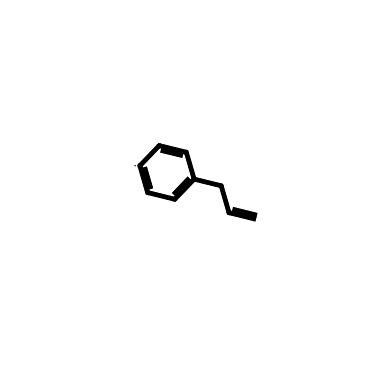 C=CCc1cc[c]cc1